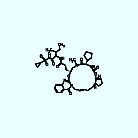 CC[C@H](C)C(NC(=O)CC[C@@H]1CN(C)C(=O)[C@H](C2CCCC2)NC(=O)O[C@@H]2CCC[C@H]2CC/C=C/Cn2c(nc3ccccc3c2=O)O1)C(=O)NS(=O)(=O)C1CC1